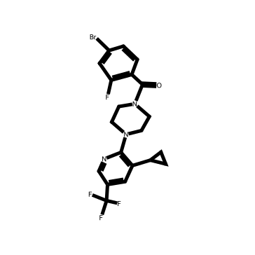 O=C(c1ccc(Br)cc1F)N1CCN(c2ncc(C(F)(F)F)cc2C2CC2)CC1